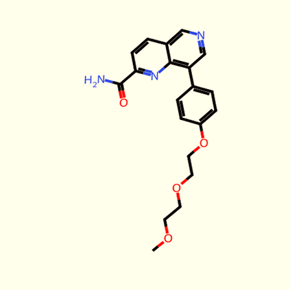 COCCOCCOc1ccc(-c2cncc3ccc(C(N)=O)nc23)cc1